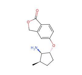 C[C@@H]1CC[C@@H](Oc2ccc3c(c2)COC3=O)[C@@H]1N